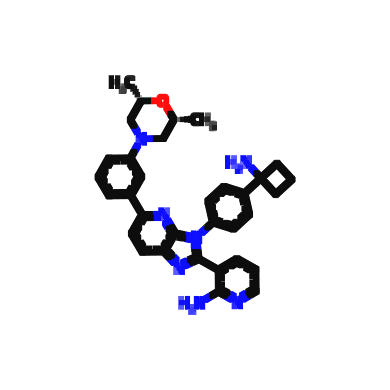 C[C@@H]1CN(c2cccc(-c3ccc4nc(-c5cccnc5N)n(-c5ccc(C6(N)CCC6)cc5)c4n3)c2)C[C@H](C)O1